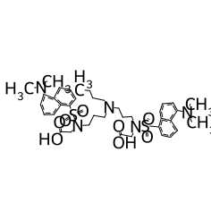 CCCCN(CCCN(CC(=O)O)S(=O)(=O)c1cccc2c(N(C)C)cccc12)CCCN(CC(=O)O)S(=O)(=O)c1cccc2c(N(C)C)cccc12